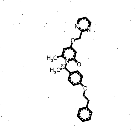 Cc1cc(OCc2ncccn2)cc(=O)n1[C@H](C)c1ccc(OCCc2ccccc2)cc1